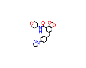 O=C(NC1CCOCC1)c1cc(Cc2ccc(-n3cccn3)cc2)cc2c1OCO2